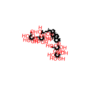 C[C@H](C(O)C[C@@H](O[C@@H]1O[C@H](CO[C@@H]2O[C@H](CO)[C@@H](O)[C@H](O)[C@H]2O)[C@@H](O)[C@H](O)[C@H]1O)C(C)(C)O)[C@H]1CC[C@@]2(C)[C@@H]3CC=C4[C@@H](CC[C@H](O[C@@H]5O[C@H](CO)[C@@H](O[C@@H]6O[C@H](CO)[C@@H](O)[C@H](O)[C@H]6O)[C@H](O)[C@H]5O)C4(C)C)[C@]3(C)[C@H](O)C[C@]12C